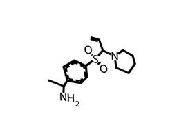 C=CC(N1CCCCC1)S(=O)(=O)c1ccc(C(C)N)cc1